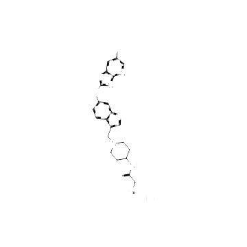 O=COCC(=O)NC1CCN(Cc2coc3cc(Oc4nc5ncc(Cl)cc5s4)ccc23)CC1